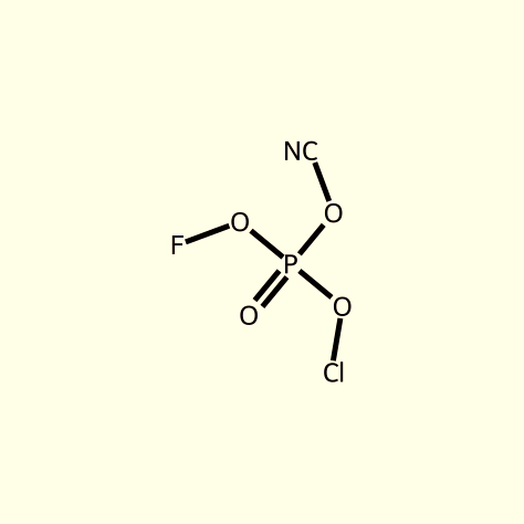 N#COP(=O)(OF)OCl